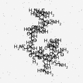 CC(C)C[C@H](NC(=O)[C@H](CCC(N)=O)NC(=O)[C@H](CCCCN)NC(=O)[C@H](CCCNC(=N)N)NC(=O)[C@@H]1CCCN1C(=O)[C@H](C)NC(=O)[C@H](CCCCN)NC(=O)CNC(=O)CNC(=O)[C@@H](NC(=O)[C@H](CO)NC(=O)[C@H](CCCCN)NC(=O)[C@H](CCCNC(=N)N)NC(=O)[C@H](C)N)[C@@H](C)O)C(=O)N[C@@H](C)C(=O)O